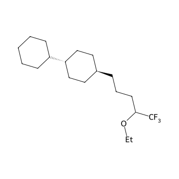 CCOC(CCC[C@H]1CC[C@H](C2CCCCC2)CC1)C(F)(F)F